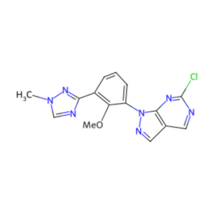 COc1c(-c2ncn(C)n2)cccc1-n1ncc2cnc(Cl)nc21